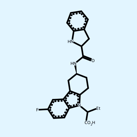 CCC(C(=O)O)n1c2c(c3cc(F)ccc31)C[C@@H](NC(=O)C1Cc3ccccc3N1)CC2